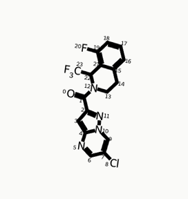 O=C(c1cc2ncc(Cl)cn2n1)N1CCc2cccc(F)c2C1C(F)(F)F